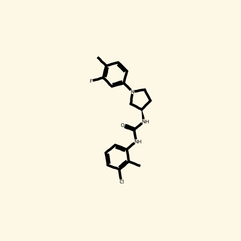 Cc1ccc(N2CC[C@@H](NC(=O)Nc3cccc(Cl)c3C)C2)cc1F